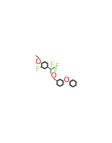 CCOc1ccc(C(COCc2cccc(Oc3ccccc3)c2)C(F)(F)F)cc1F